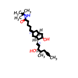 CC#CC[C@H](C)[C@H](O)/C=C/[C@@H]1[C@H]2C/C(=C/CCCC(=O)NC(C)(C)C)C[C@H]2C[C@H]1O